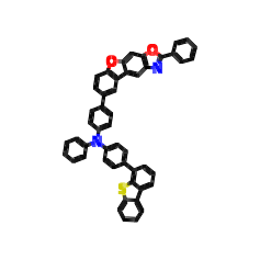 c1ccc(-c2nc3cc4c(cc3o2)oc2ccc(-c3ccc(N(c5ccccc5)c5ccc(-c6cccc7c6sc6ccccc67)cc5)cc3)cc24)cc1